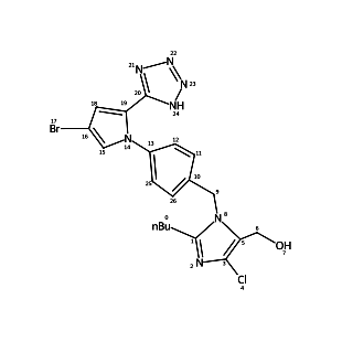 CCCCc1nc(Cl)c(CO)n1Cc1ccc(-n2cc(Br)cc2-c2nnn[nH]2)cc1